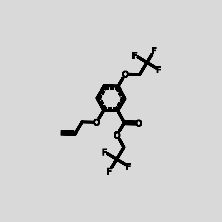 C=CCOc1ccc(OCC(F)(F)F)cc1C(=O)OCC(F)(F)F